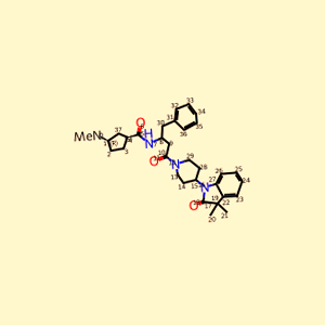 CN[C@@H]1CC[C@H](C(=O)NC(CC(=O)N2CCC(N3C(=O)C(C)(C)c4ccccc43)CC2)Cc2ccccc2)C1